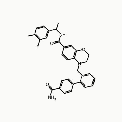 Cc1ccc(C(C)NC(=O)c2ccc3c(c2)OCCN3Cc2ccccc2-c2ccc(C(N)=O)cc2)cc1F